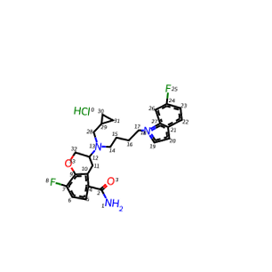 Cl.NC(=O)c1ccc(F)c2c1CC(N(CCCCn1ccc3ccc(F)cc31)CC1CC1)CO2